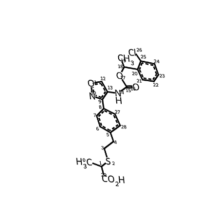 CC(SCCc1ccc(-c2nocc2NC(=O)OC(C)c2ccccc2Cl)cc1)C(=O)O